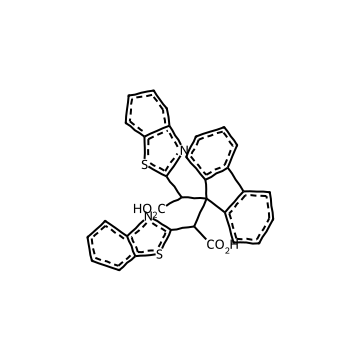 O=C(O)C(c1nc2ccccc2s1)C1(C(C(=O)O)c2nc3ccccc3s2)c2ccccc2-c2ccccc21